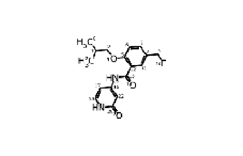 CC(C)COc1ccc(CF)cc1C(=O)Nc1cc[nH]c(=O)c1